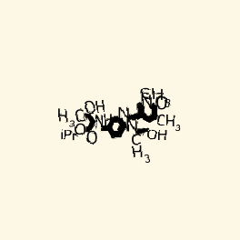 Cc1cc(-c2nc3cc(CN[C@H](C(=O)OC(C)C)[C@@H](C)O)ccc3n2[C@H](C)CO)cn(C)c1=O